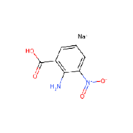 Nc1c(C(=O)O)cccc1[N+](=O)[O-].[Na+]